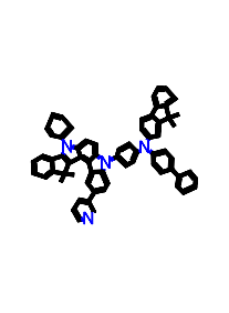 CC1(C)c2ccccc2-c2ccc(N(c3ccc(-c4ccccc4)cc3)c3ccc(-n4c5ccc(-c6cccnc6)cc5c5c6c7c(n(-c8ccccc8)c6ccc54)-c4ccccc4C7(C)C)cc3)cc21